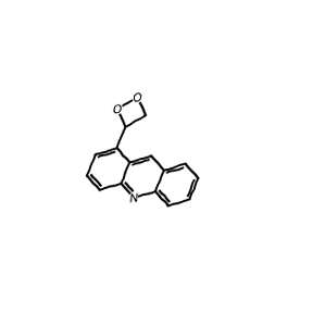 c1ccc2nc3cccc(C4COO4)c3cc2c1